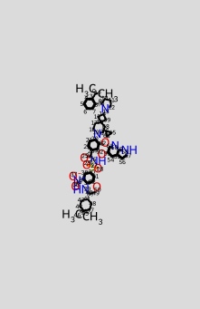 CC(C)c1ccccc1[C@@H]1CCCN1C1CC2(CCN(c3ccc(C(=O)NS(=O)(=O)c4cc5c(c([N+](=O)[O-])c4)N[C@@H](C4CCC(C)(C)CC4)CO5)c(Oc4cc5cc[nH]c5nc4OC4CC4)c3)CC2)C1